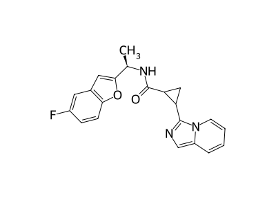 C[C@@H](NC(=O)C1CC1c1ncc2ccccn12)c1cc2cc(F)ccc2o1